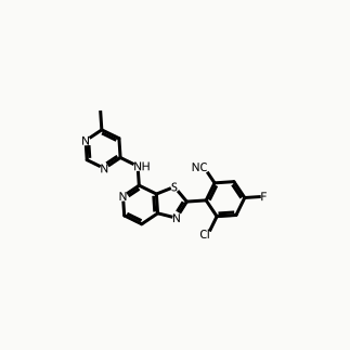 Cc1cc(Nc2nccc3nc(-c4c(Cl)cc(F)cc4C#N)sc23)ncn1